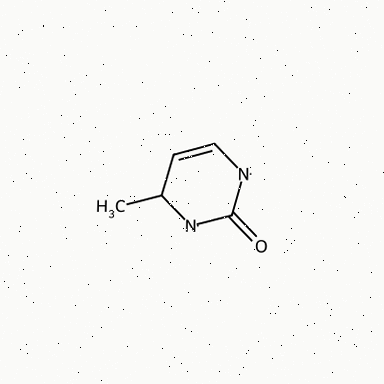 CC1C=C[N]C(=O)[N]1